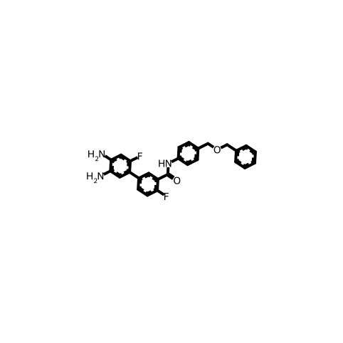 Nc1cc(F)c(-c2ccc(F)c(C(=O)Nc3ccc(COCc4ccccc4)cc3)c2)cc1N